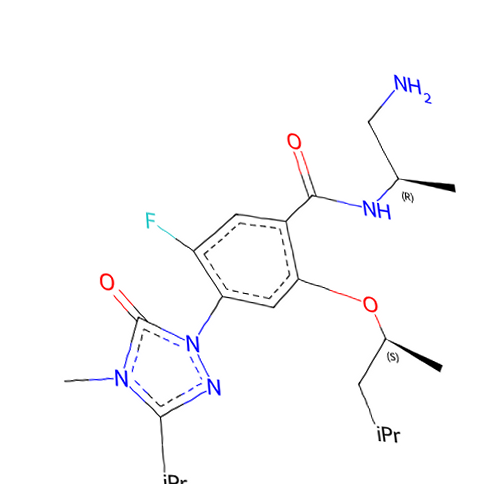 CC(C)C[C@H](C)Oc1cc(-n2nc(C(C)C)n(C)c2=O)c(F)cc1C(=O)N[C@H](C)CN